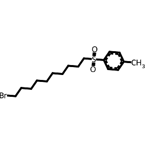 Cc1ccc(S(=O)(=O)CCCCCCCCCCBr)cc1